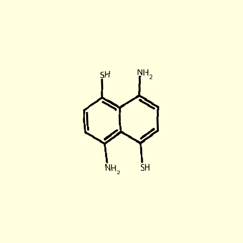 Nc1ccc(S)c2c(N)ccc(S)c12